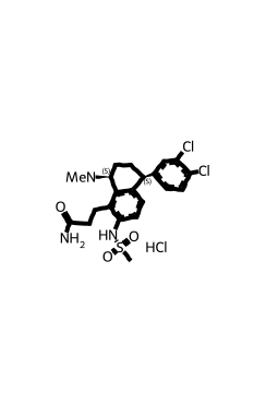 CN[C@H]1CC[C@@H](c2ccc(Cl)c(Cl)c2)c2ccc(NS(C)(=O)=O)c(CCC(N)=O)c21.Cl